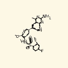 COc1ncc(-c2cnc3nc(N)nc(C)c3c2)cc1NS(=O)(=O)c1ccc(F)cc1F